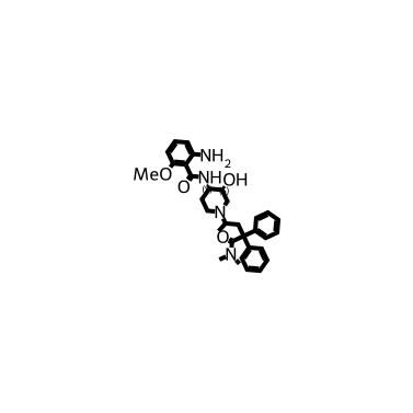 COc1cccc(N)c1C(=O)N[C@H]1CCN(C(C)CC(C(=O)N(C)C)(c2ccccc2)c2ccccc2)C[C@@H]1O